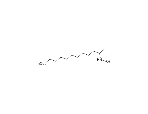 CCCCCCCCCCCCCCCCCC(C)NS